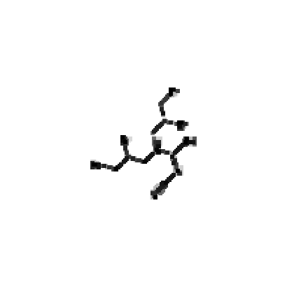 N#CN=C(S)[SH](CC(Br)CBr)CC(Br)CBr